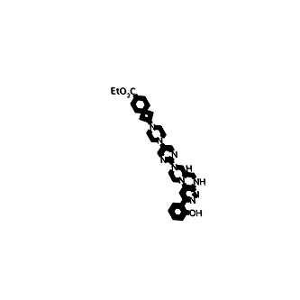 CCOC(=O)C1CCC2(CC1)CC(N1CCN(c3cnc(N4CCN5c6cc(-c7ccccc7O)nnc6NC[C@H]5C4)nc3)CC1)C2